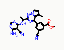 COC(=O)c1cc(C#N)cc(-c2nc(C(C)Nc3ncnc(N)c3C#N)nn3ccc(C)c23)c1